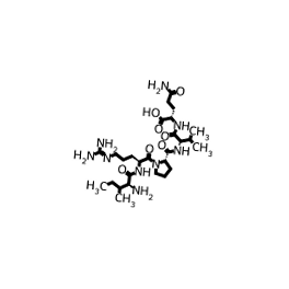 CCC(C)[C@H](N)C(=O)N[C@@H](CCCN=C(N)N)C(=O)N1CCC[C@H]1C(=O)N[C@H](C(=O)N[C@@H](CCC(N)=O)C(=O)O)C(C)C